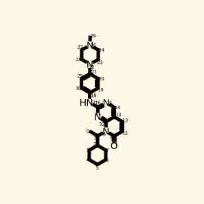 CC(C1CCCCC1)n1c(=O)ccc2cnc(Nc3ccc(N4CCN(C)CC4)cc3)nc21